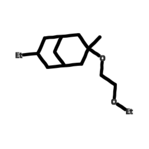 CCOCCOC1(C)CC2CC(CC)CC(C2)C1